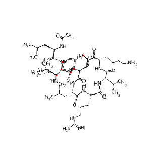 CC(=O)N[C@H](CC(C)C)C(=O)N[C@@H](CC(C)C)C(=O)N[C@@H](CC(C)C)C(=O)N[C@@H](CC(C)C)C(=O)N[C@@H](CCCNC(=N)N)C(=O)N[C@H](C(=O)N[C@@H](CCCCN)C(=O)NCc1ccc(C(=N)N)cc1)C(C)C